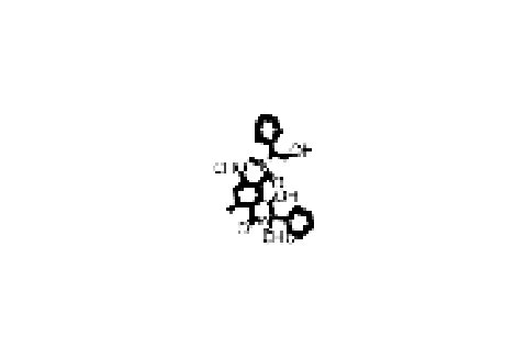 Cc1cc(C=O)c(C(=O)N(C)C(CO)c2ccccc2)cc1C(=O)N(C=O)C(CO)c1ccccc1